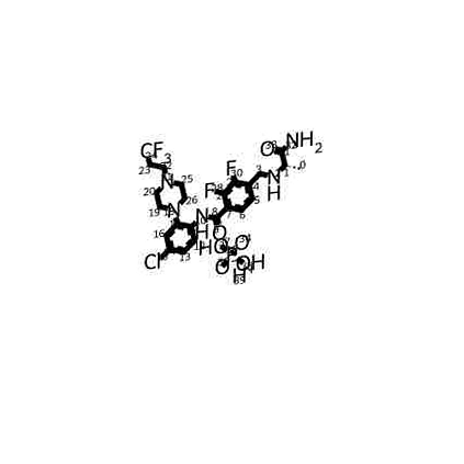 C[C@H](NCc1ccc(C(=O)Nc2ccc(Cl)cc2N2CCN(CCC(F)(F)F)CC2)c(F)c1F)C(N)=O.O=P([O-])(O)O.[H+]